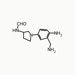 NCc1cc(N2CCC(NC=O)C2)ccc1N